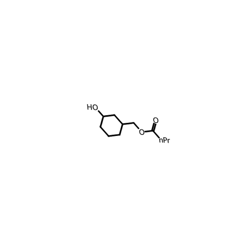 CCCC(=O)OCC1CCCC(O)C1